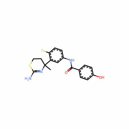 CC1(c2cc(NC(=O)c3ccc(O)cc3)ccc2F)CCSC(N)=N1